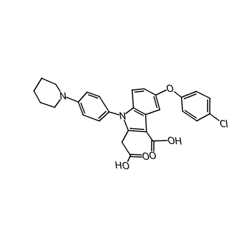 O=C(O)Cc1c(C(=O)O)c2cc(Oc3ccc(Cl)cc3)ccc2n1-c1ccc(N2CCCCC2)cc1